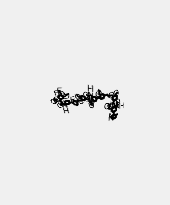 CCOc1cc([C@@H](CS(C)(=O)=O)n2c(=O)[nH]c3cc(-c4cccc(COc5cc([C@@H](CS(C)(=O)=O)n6c(=O)[nH]c7cc(-c8ccc(CCOc9cc([C@@H](CS(C)(=O)=O)n%10c(=O)[nH]c%11cc(-c%12nnccc%12C)ccc%11%10)ccc9OC)cc8OCC)ccc76)ccc5OC)c4F)ccc32)ccc1OC(F)F